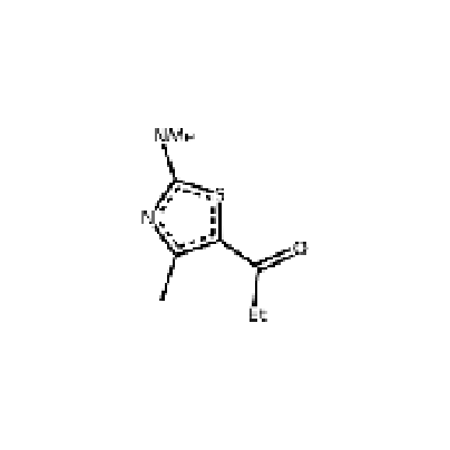 CCC(=O)c1sc(NC)nc1C